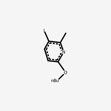 CCCCOc1ccc(I)c(C)n1